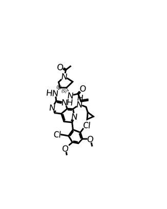 C=CC(=O)N[C@H]1CN(C(C)=O)C[C@H]1Nc1ncc2cc(-c3c(Cl)c(OC)cc(OC)c3Cl)nc(NCC3CC3)c2n1